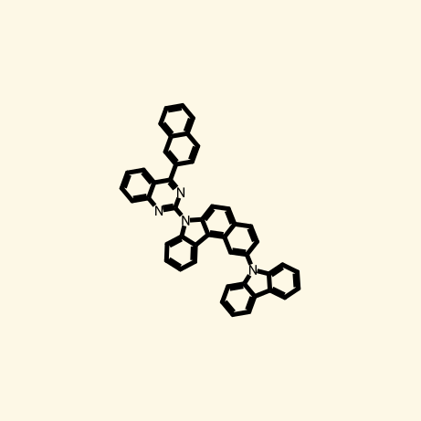 c1ccc2cc(-c3nc(-n4c5ccccc5c5c6cc(-n7c8ccccc8c8ccccc87)ccc6ccc54)nc4ccccc34)ccc2c1